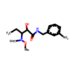 CC(C)(C)ON(C=O)C(CC(F)(F)F)C(O)C(=O)NCc1cccc([N+](=O)[O-])c1